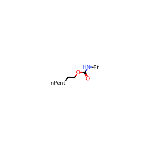 [CH2]CCCCCCOC(=O)NCC